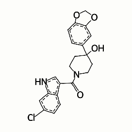 O=C(c1c[nH]c2cc(Cl)ccc12)N1CCC(O)(c2ccc3c(c2)OCO3)CC1